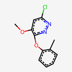 COc1cc(Cl)nnc1Oc1ccccc1C